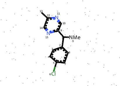 CNC(c1ccc(Cl)cc1)c1cnc(C)cn1